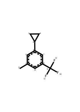 [CH2]c1cc(C2CC2)cc(C(F)(F)F)c1